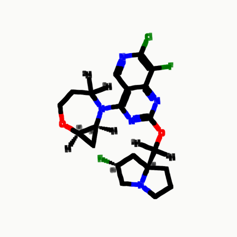 [2H]C1([2H])CCO[C@@H]2C[C@@H]2N1c1nc(OC([2H])([2H])[C@@]23CCCN2C[C@H](F)C3)nc2c(F)c(Cl)ncc12